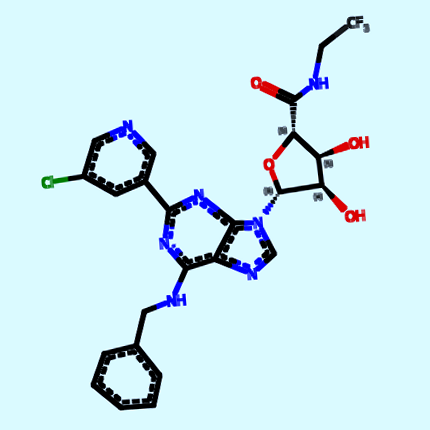 O=C(NCC(F)(F)F)[C@H]1O[C@@H](n2cnc3c(NCc4ccccc4)nc(-c4cncc(Cl)c4)nc32)[C@H](O)[C@@H]1O